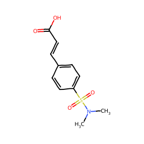 CN(C)S(=O)(=O)c1ccc(/C=C/C(=O)O)cc1